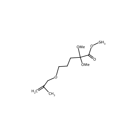 C=C(C)COCCCC(OC)(OC)C(=O)O[SiH3]